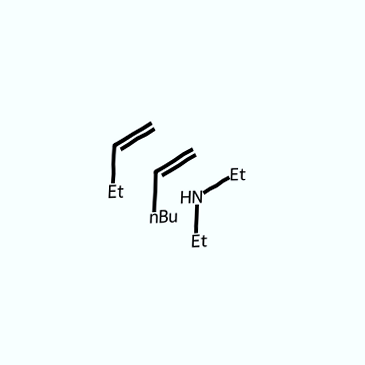 C=CCC.C=CCCCC.CCNCC